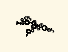 Cc1cc(-c2cnn3c(NCC4(F)CCN(C)CC4)cc(Oc4cccc(F)c4)nc23)ccc1C(=O)NC1CC1